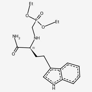 CCOP(=O)(CN[C@@H](CCc1c[nH]c2ccccc12)C(N)=O)OCC